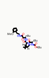 CCCCC(NC(=O)[C@@H]1[C@@H]2[C@H](CN1C(=O)[C@@H](NC(=O)OC(C)(C)C)C(C)(C)C)C2(C)C)C(=O)C(=O)NCCc1ccccc1OC